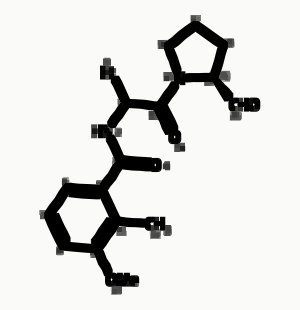 CCC(NC(=O)c1cccc(OC)c1C)C(=O)N1CCC[C@H]1C=O